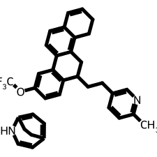 C1=CC2=CC=C(CC2)N1.Cc1ccc(CCC2Cc3c(ccc4c3CCC=C4)-c3cc(OC(F)(F)F)ccc32)cn1